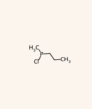 CCCP(C)Cl